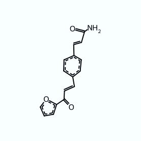 NC(=O)/C=C/c1ccc(/C=C/C(=O)c2ccco2)cc1